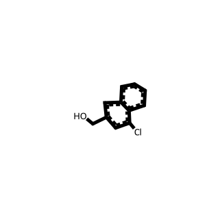 OCc1cc(Cl)c2ccccc2c1